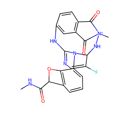 CNC(=O)C1Oc2c1cccc2N1C2=NC=C(F)C1N[N+]1(C)C(=O)c3ccc(cc3C1=O)N2